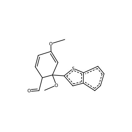 COC1=CC(OC)(c2cc3ccccc3s2)C(C=O)C=C1